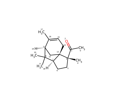 CC(=O)[C@]1(C)CC[C@H]2C(C)(C)[C@@H]3C[C@@]21CC=C3C